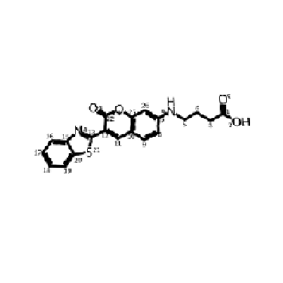 O=C(O)CCCNc1ccc2cc(-c3nc4ccccc4s3)c(=O)oc2c1